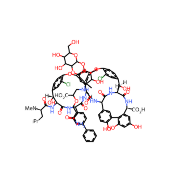 CN[C@H](CC(C)C)C(=O)NC1C(=O)NC(CC(N)=O)C(=O)N[C@H]2C(=O)NC3C(=O)N[C@H](C(=O)N[C@@H](C(=O)O)c4cc(O)cc(O)c4-c4cc3ccc4O)[C@H](O)c3ccc(c(Cl)c3)Oc3cc2cc(c3OC2OC(CO)C(O)C(O)C2OC2CC(C)(NCC(OCc3ccc(-c4ccccc4)cc3)C(=O)O)C(O)C(C)O2)Oc2ccc(cc2Cl)[C@H]1O